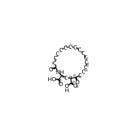 O=C1CCCCCCCCCCCCCCC(=O)C(C(=O)O)C[C@@H](C(=O)O)N1